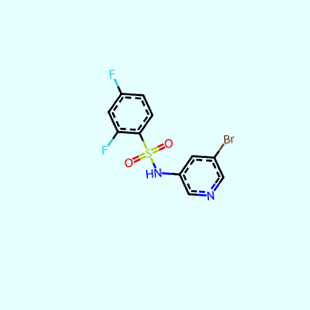 O=S(=O)(Nc1cncc(Br)c1)c1ccc(F)cc1F